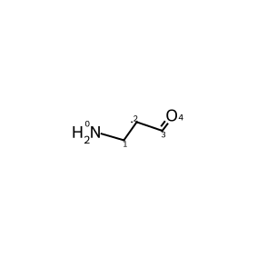 NC[CH]C=O